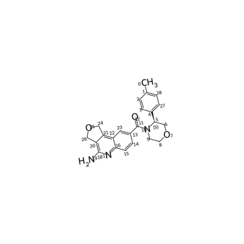 Cc1ccc([C@H]2COCCN2C(=O)c2ccc3nc(N)c4c(c3c2)COC4)cc1